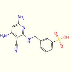 N#Cc1c(N)cc(N)nc1NCc1cccc(S(=O)(=O)O)c1